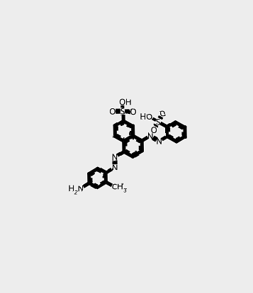 Cc1cc(N)ccc1N=Nc1ccc(N=Nc2ccccc2S(=O)(=O)O)c2cc(S(=O)(=O)O)ccc12